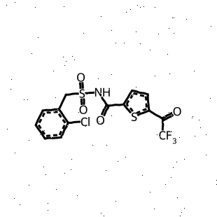 O=C(NS(=O)(=O)Cc1ccccc1Cl)c1ccc(C(=O)C(F)(F)F)s1